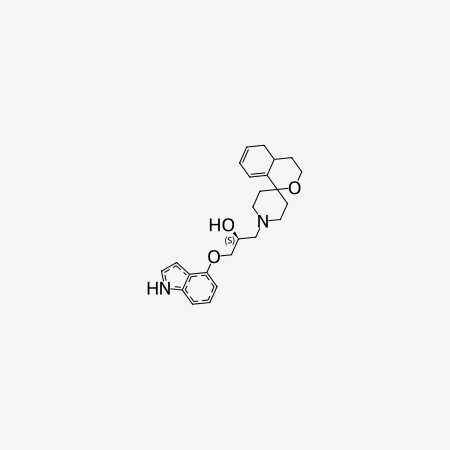 O[C@H](COc1cccc2[nH]ccc12)CN1CCC2(CC1)OCCC1CC=CC=C12